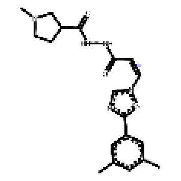 Cc1cc(C)cc(-c2ncn(/C=C\C(=O)NNC(=O)C3CCN(C)C3)n2)c1